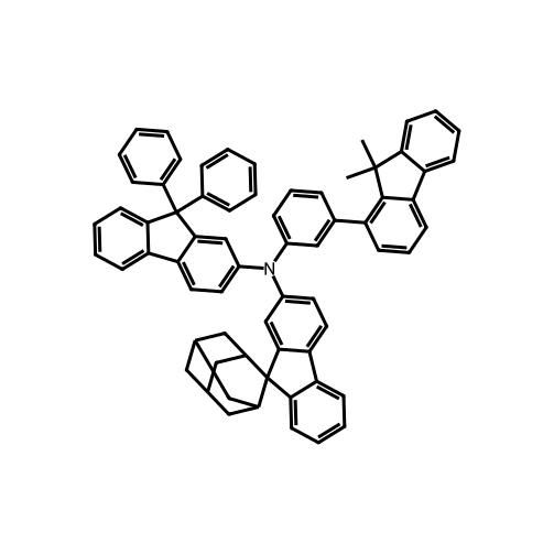 CC1(C)c2ccccc2-c2cccc(-c3cccc(N(c4ccc5c(c4)C(c4ccccc4)(c4ccccc4)c4ccccc4-5)c4ccc5c(c4)C4(c6ccccc6-5)C5CC6CC(C5)CC4C6)c3)c21